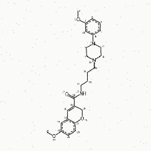 COc1cccc(N2CCN(CCCCNC(=O)C3=Cc4cc(OC)ccc4OC3)CC2)c1